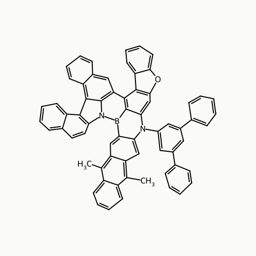 Cc1c2ccccc2c(C)c2cc3c(cc12)B1c2c(cc4oc5ccccc5c4c2-c2cc4ccccc4c4c5c6ccccc6ccc5n1c24)N3c1cc(-c2ccccc2)cc(-c2ccccc2)c1